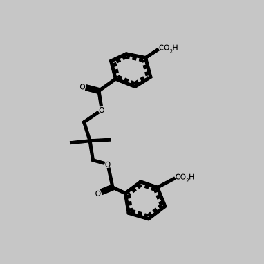 CC(C)(COC(=O)c1ccc(C(=O)O)cc1)COC(=O)c1cccc(C(=O)O)c1